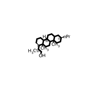 CCC[C@H]1CC[C@@]2(C)C(CC[C@@H]3C2CC[C@@]2(C)C3CCC[C@@H]2[C@@H](C)CO)C1